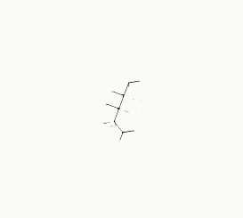 O=C[C@H](O)[C@](O)(Cl)[C@@](O)(Cl)[C@H](O)C(O)Cl